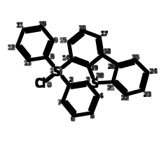 Cl[Si](c1ccccc1)(c1ccccc1)c1cccc2c1sc1ccccc12